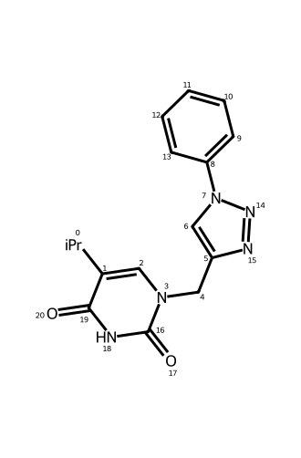 CC(C)c1cn(Cc2cn(-c3ccccc3)nn2)c(=O)[nH]c1=O